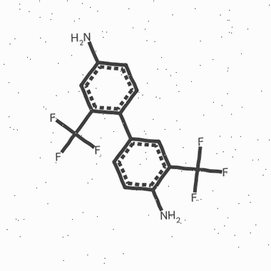 Nc1ccc(-c2ccc(N)c(C(F)(F)F)c2)c(C(F)(F)F)c1